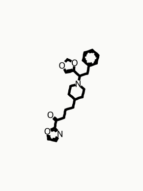 O=C(CCCC1CCN(C(Cc2ccccc2)C2=COCO2)CC1)c1ncco1